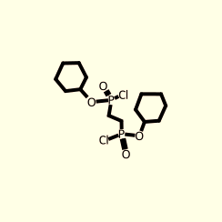 O=P(Cl)(CCP(=O)(Cl)OC1CCCCC1)OC1CCCCC1